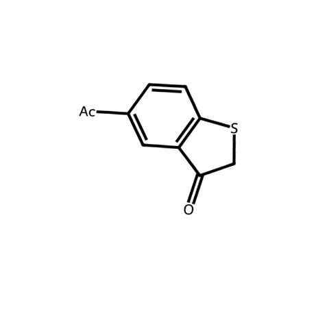 CC(=O)c1ccc2c(c1)C(=O)CS2